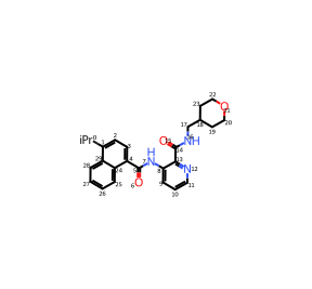 CC(C)c1ccc(C(=O)Nc2cccnc2C(=O)NCC2CCOCC2)c2ccccc12